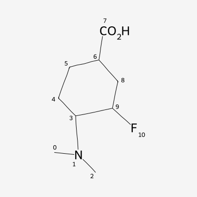 CN(C)C1CCC(C(=O)O)CC1F